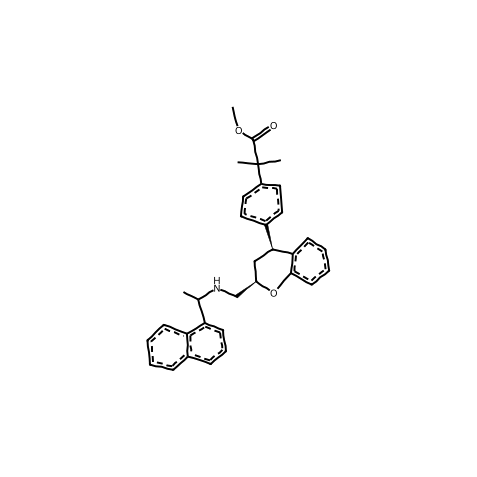 COC(=O)C(C)(C)c1ccc([C@@H]2C[C@H](CNC(C)c3cccc4ccccc34)Oc3ccccc32)cc1